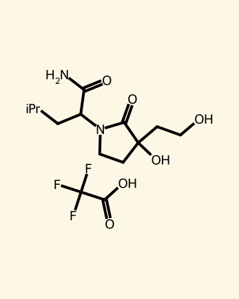 CC(C)CC(C(N)=O)N1CCC(O)(CCO)C1=O.O=C(O)C(F)(F)F